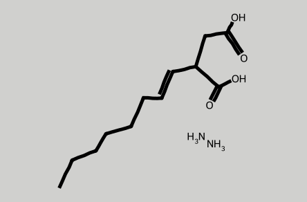 CCCCCCC=CC(CC(=O)O)C(=O)O.N.N